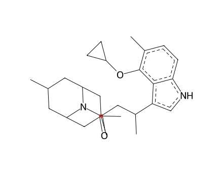 Cc1ccc2[nH]cc(C(C)CC(=O)N3C4CC(C)CC3CC(C)(C)C4)c2c1OC1CC1